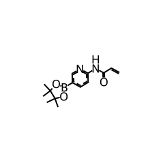 C=CC(=O)Nc1ccc(B2OC(C)(C)C(C)(C)O2)cn1